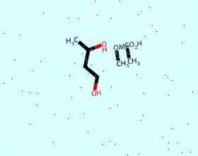 CC(=O)O.CC(O)CCO.COC